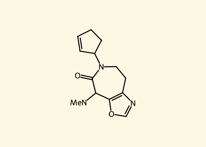 CNC1C(=O)N(C2C=CCC2)CCc2ncoc21